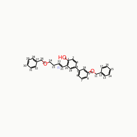 Oc1ccc(-c2cccc(OCc3ccccc3)c2)cc1/C=C/CCOCc1ccccc1